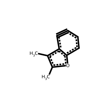 Cc1oc2ccc#cc2c1C